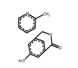 CC(=O)Oc1cc2cc(c1)C(=O)OC2.Cc1ccccn1